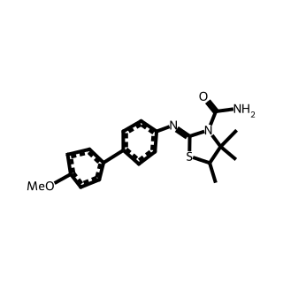 COc1ccc(-c2ccc(N=C3SC(C)C(C)(C)N3C(N)=O)cc2)cc1